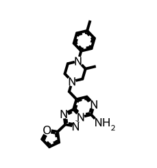 Cc1ccc(N2CCN(Cc3cnc(N)n4nc(-c5ccco5)nc34)CC2C)cc1